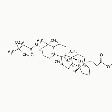 CC(C)(C)OC(=O)CC[C@]12CCC[C@@H]1[C@H]1CCC3[C@@]4(C)CC[C@H](OC(=O)CC(C)(C)C(=O)O)C(C)(C)C4CC[C@@]3(C)[C@]1(C)CC2